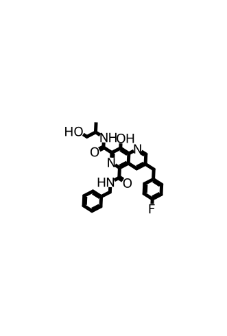 CC(CO)NC(=O)c1nc(C(=O)NCc2ccccc2)c2cc(Cc3ccc(F)cc3)cnc2c1O